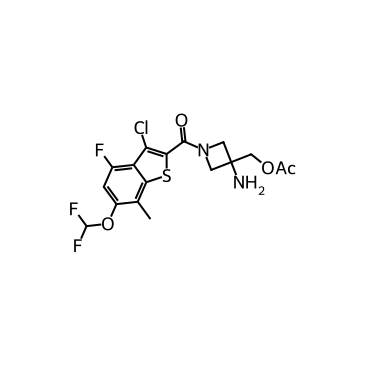 CC(=O)OCC1(N)CN(C(=O)c2sc3c(C)c(OC(F)F)cc(F)c3c2Cl)C1